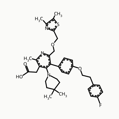 Cc1nc(COCc2nc(C)c(CC(=O)O)c(N3CCC(C)(C)CC3)c2-c2ccc(OCCc3ccc(F)cc3)cc2)sc1C